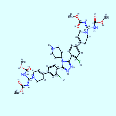 CN1CCC(n2c(-c3ccc(C4=CCN(/C(=N\C(=O)OC(C)(C)C)NC(=O)OC(C)(C)C)CC4)cc3F)nnc2-c2ccc(C3=CCN(/C(=N/C(=O)OC(C)(C)C)NC(=O)OC(C)(C)C)CC3)cc2F)CC1